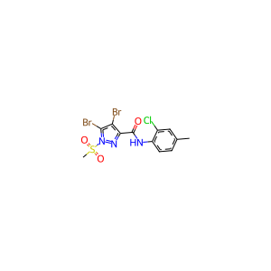 Cc1ccc(NC(=O)c2nn(S(C)(=O)=O)c(Br)c2Br)c(Cl)c1